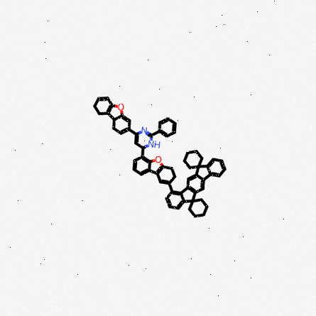 C1=CC2=C(CC1)C1CC=C(C3=CC(c4cccc5c6c(oc45)CCC(c4cccc5c4-c4cc7c(cc4C54CCCCC4)-c4ccccc4C74CCCCC4)=C6)NC(c4ccccc4)=N3)C=C1O2